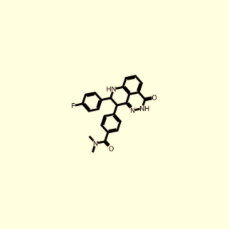 CN(C)C(=O)c1ccc(C2c3n[nH]c(=O)c4cccc(c34)NC2c2ccc(F)cc2)cc1